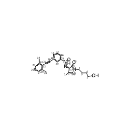 CC1=NN(CCCCO)C(=O)C1=NN(O)c1cccc(C#Cc2c(C)cccc2C)c1